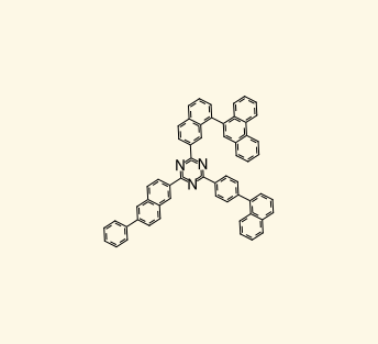 c1ccc(-c2ccc3cc(-c4nc(-c5ccc(-c6cccc7ccccc67)cc5)nc(-c5ccc6cccc(-c7cc8ccccc8c8ccccc78)c6c5)n4)ccc3c2)cc1